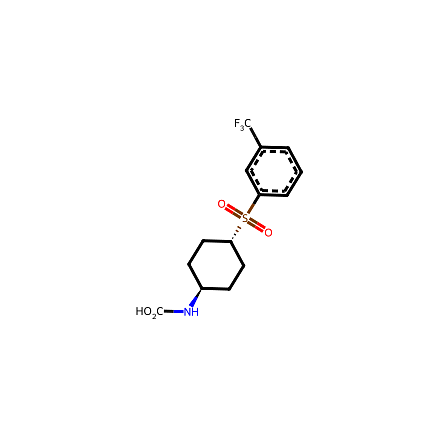 O=C(O)N[C@H]1CC[C@H](S(=O)(=O)c2cccc(C(F)(F)F)c2)CC1